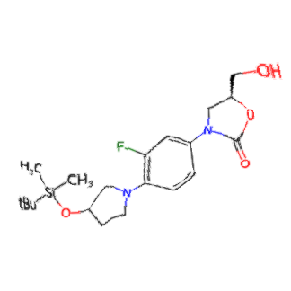 CC(C)(C)[Si](C)(C)OC1CCN(c2ccc(N3C[C@@H](CO)OC3=O)cc2F)C1